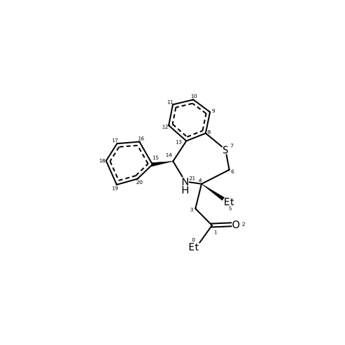 CCC(=O)C[C@@]1(CC)CSc2ccccc2[C@H](c2ccccc2)N1